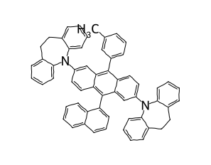 Cc1cccc(-c2c3cc(N4c5ccccc5CCc5ccccc54)ccc3c(-c3cccc4ccccc34)c3cc(N4c5ccccc5CCc5ccccc54)ccc23)c1